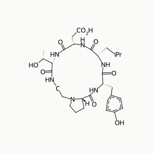 CC(C)C[C@@H]1NC(=O)[C@H](Cc2ccc(O)cc2)NC(=O)[C@@H]2CCCN2CCNC(=O)[C@H]([C@@H](C)O)NC(=O)[C@H](CC(=O)O)NC1=O